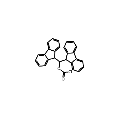 O=C(Cl)OC(C1c2ccccc2-c2ccccc21)C1c2ccccc2-c2ccccc21